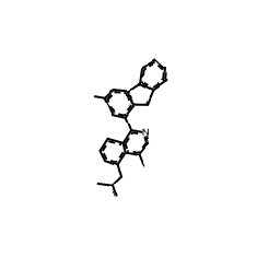 Cc1cc2c(c(-c3ncc(C)c4c(CC(C)C)cccc34)c1)Cc1ccccc1-2